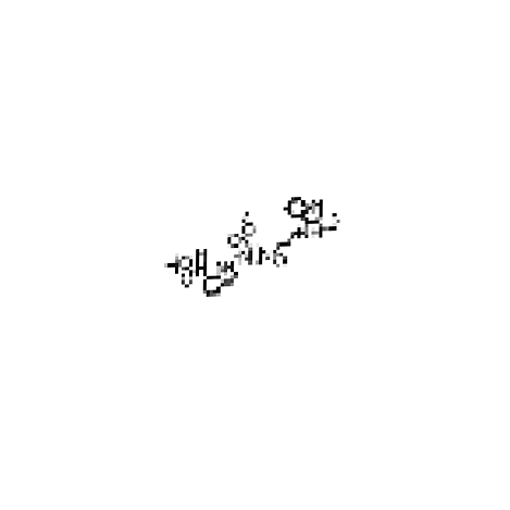 CCOC(=O)C1CN(C(=O)CCCNc2c3c(nc4ccccc24)CCCC3)CCN1Cc1ccc2cccc(NC(=O)OC(C)(C)C)c2n1